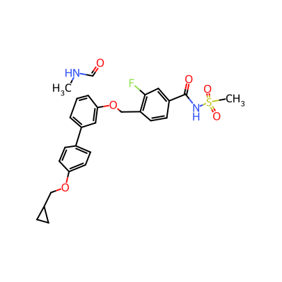 CNC=O.CS(=O)(=O)NC(=O)c1ccc(COc2cccc(-c3ccc(OCC4CC4)cc3)c2)c(F)c1